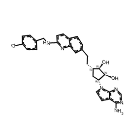 Nc1ncnc2c1ccn2[C@@H]1C[C@H](CCc2ccc3ccc(NCc4ccc(Cl)cc4)nc3c2)[C@@H](O)[C@H]1O